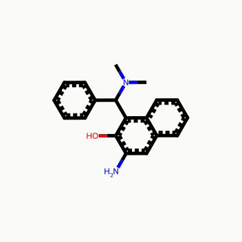 CN(C)C(c1ccccc1)c1c(O)c(N)cc2ccccc12